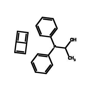 CC(O)P(c1ccccc1)c1ccccc1.c1cc2ccc1-2